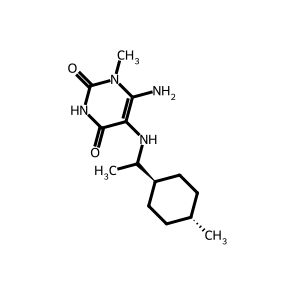 CC(Nc1c(N)n(C)c(=O)[nH]c1=O)[C@H]1CC[C@H](C)CC1